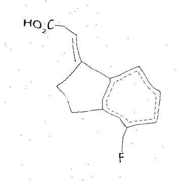 O=C(O)C=C1CCc2c(F)cccc21